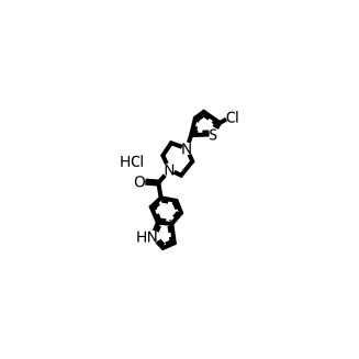 Cl.O=C(c1ccc2cc[nH]c2c1)N1CCN(c2ccc(Cl)s2)CC1